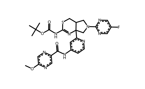 COc1cnc(C(=O)Nc2ccnc(C34CN(c5ncc(F)cn5)CC3CSC(NC(=O)OC(C)(C)C)=N4)c2)cn1